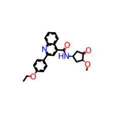 CCOc1ccc(-c2cc(C(=O)N[C@H]3CC(=O)[C@@H](OC)C3)c3ccccc3n2)cc1